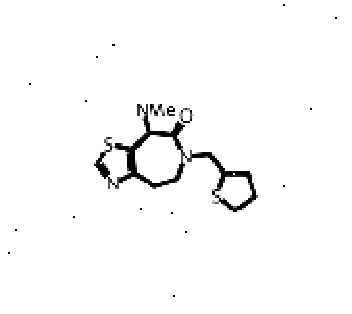 CNC1C(=O)N(CC2CCCS2)CCc2ncsc21